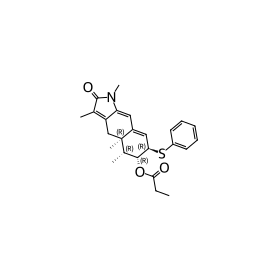 CCC(=O)O[C@H]1[C@H](Sc2ccccc2)C=C2C=C3C(=C(C)C(=O)N3C)C[C@]2(C)[C@H]1C